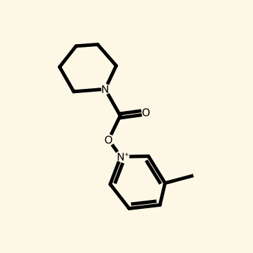 Cc1ccc[n+](OC(=O)N2CCCCC2)c1